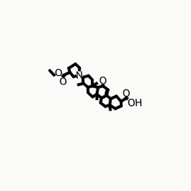 CCOC(=O)C1CCCN(C2CCC3(C)C(CCC4(C)C5CCC6(C)CCC(C(=O)O)CC6C5=CC(=O)C43)C2C)C1